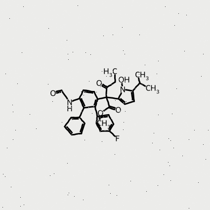 CCC(=O)C(C(=O)OC)(c1ccc(NC=O)c(-c2ccccc2)c1-c1ccc(F)cc1)c1ccc(C(C)C)n1O